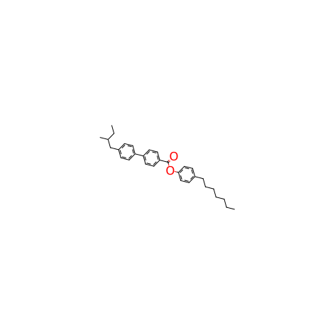 CCCCCCCc1ccc(OC(=O)c2ccc(-c3ccc(CC(C)CC)cc3)cc2)cc1